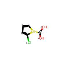 OB(O)[SH]1C=CC=C1Cl